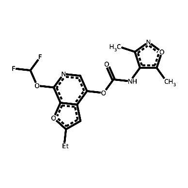 CCc1cc2c(OC(=O)Nc3c(C)noc3C)cnc(OC(F)F)c2o1